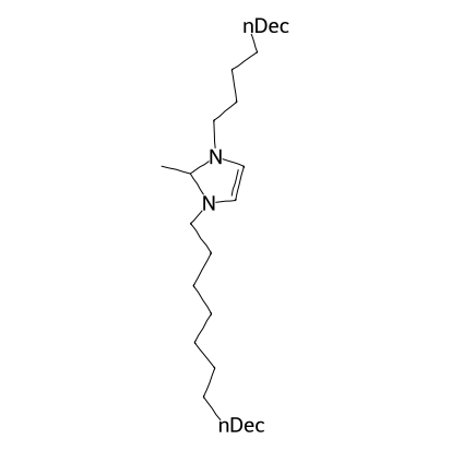 CCCCCCCCCCCCCCCCCN1C=CN(CCCCCCCCCCCCCC)C1C